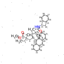 CCC(C)(CC(CC(C)(C)C(=O)NC1Cc2ccccc21)c1c2ccccc2cc2ccccc12)C(=O)OC